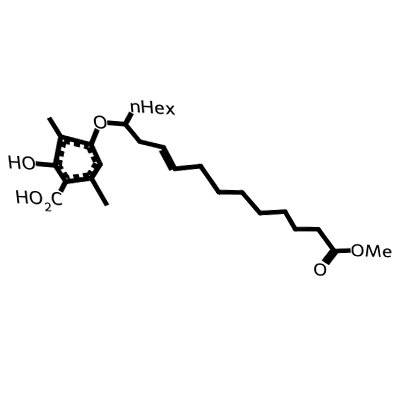 CCCCCCC(CC=CCCCCCCCC(=O)OC)Oc1cc(C)c(C(=O)O)c(O)c1C